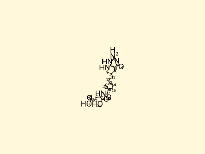 Nc1nc(=O)c2c([nH]1)NCC(CCc1ccc(C(=O)N[C@@H](CCC(=O)O)C(=O)O)s1)C2